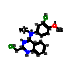 CCOc1ccc(N(C)c2nc(CCl)nc3ccccc23)cc1Cl